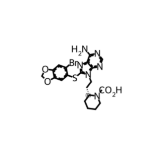 Nc1ncnc2c1nc(Sc1cc3c(cc1Br)OCO3)n2CC[C@H]1CCCCN1C(=O)O